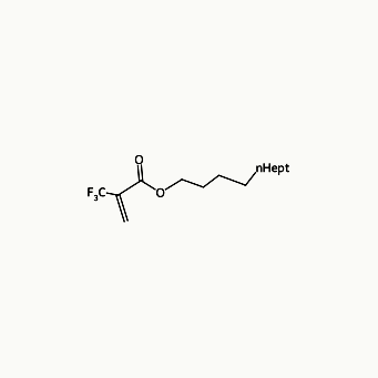 C=C(C(=O)OCCCCCCCCCCC)C(F)(F)F